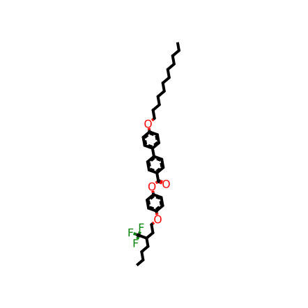 CCCCCCCCCCCCOc1ccc(-c2ccc(C(=O)Oc3ccc(OCCC(CCCC)C(F)(F)F)cc3)cc2)cc1